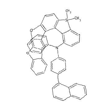 C[Si]1(C)c2cccc(N(c3ccc(-c4cccc5ccccc45)cc3)c3cccc4oc5ccccc5c34)c2-c2c1ccc1oc3ccccc3c21